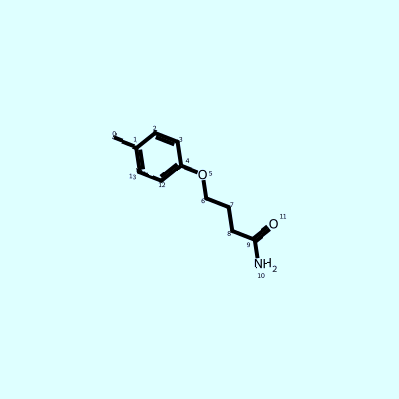 Cc1ccc(OCCCC(N)=O)cc1